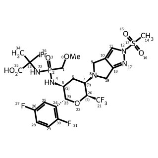 COCP(=O)(N[C@H]1C[C@@H](N2Cc3cn(S(C)(=O)=O)nc3C2)[C@@H](C(F)(F)F)O[C@@H]1c1cc(F)ccc1F)NC(C)(C(=O)O)C(C)C